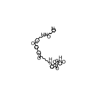 O=C(/C=C/c1cccnc1)NCCCCC1CCN(C(=O)c2ccc(C3CCN(C(=O)CCCCCCNc4cccc5c4C(=O)N(C4CCC(=O)NC4=O)C5=O)CC3)cc2)CC1